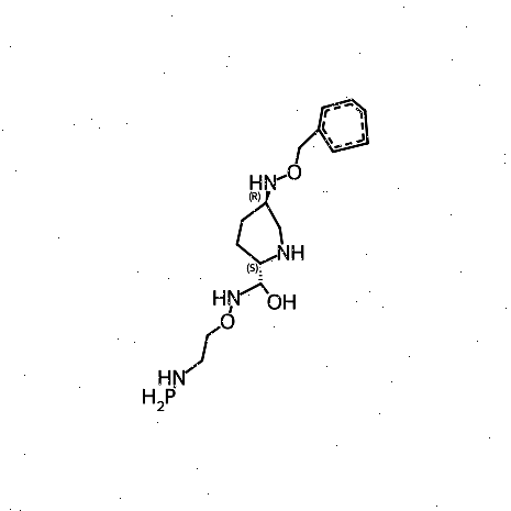 OC(NOCCNP)[C@@H]1CC[C@@H](NOCc2ccccc2)CN1